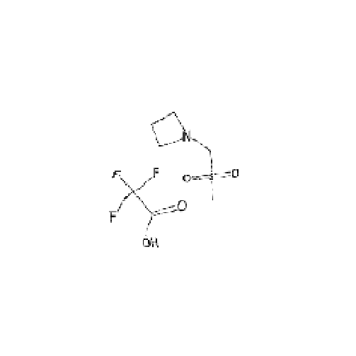 CS(=O)(=O)CN1CCC1.O=C(O)C(F)(F)F